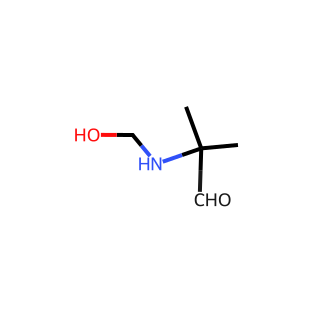 CC(C)(C=O)NCO